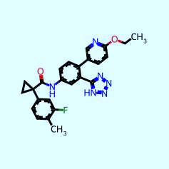 CCOc1ccc(-c2ccc(NC(=O)C3(c4ccc(C)c(F)c4)CC3)cc2-c2nnn[nH]2)cn1